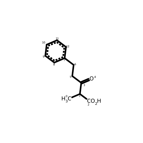 CC(C(=O)O)C(=O)CCc1ccccc1